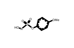 COc1ccc(OS(=O)(=O)[N]O)cc1